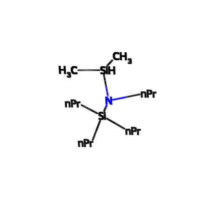 CCCN([SiH](C)C)[Si](CCC)(CCC)CCC